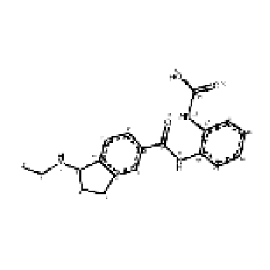 CCNC1CCc2cc(C(=O)Nc3ccccc3NC(=O)O)ccc21